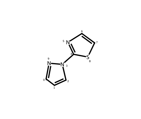 [c]1ccn(-c2nccs2)n1